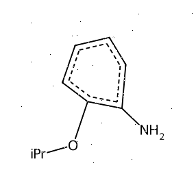 CC(C)Oc1cc[c]cc1N